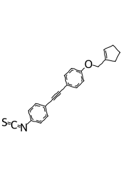 S=C=Nc1ccc(C#Cc2ccc(OCC3=CCCC3)cc2)cc1